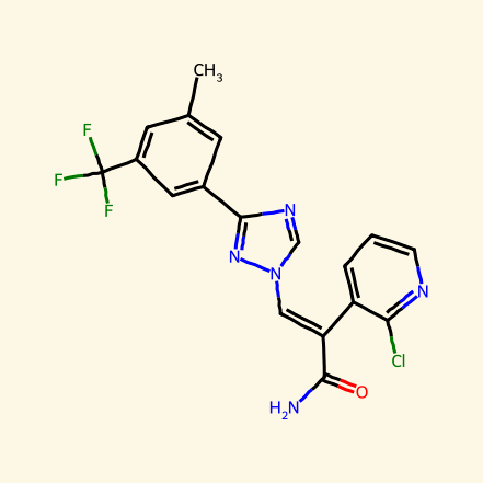 Cc1cc(-c2ncn(/C=C(/C(N)=O)c3cccnc3Cl)n2)cc(C(F)(F)F)c1